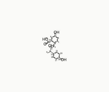 CC(CCc1ccc(O)cc1P(=O)(O)O)c1ccc(O)cc1